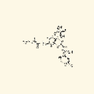 COCCNC(=O)COc1ccc2c(c1)CC(NC[C@H](O)c1cccc(Cl)c1)CC2.O=C(O)C(=O)O